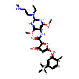 CCN(CCNC)c1nc(OC)c(NC(=O)C2OC(Oc3cc([Si](C)(C)C)ccc3C)=CC2=O)c(OC)n1